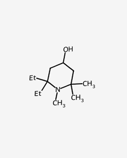 CCC1(CC)CC(O)CC(C)(C)N1C